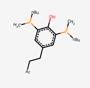 CCCCP(C)c1cc(CCC(C)=O)cc(P(C)CCCC)c1O